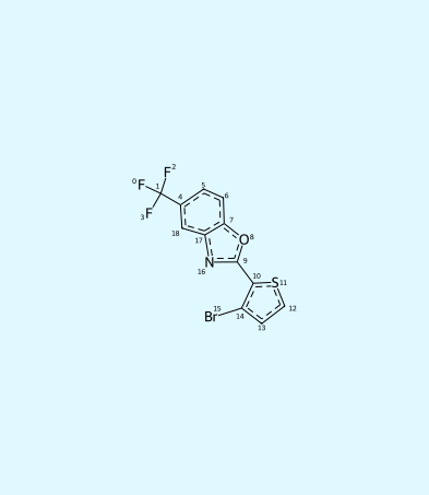 FC(F)(F)c1ccc2oc(-c3sccc3Br)nc2c1